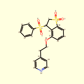 O=S1(=O)CC(S(=O)(=O)c2ccccc2)c2c(OCCc3ccncc3)cccc21